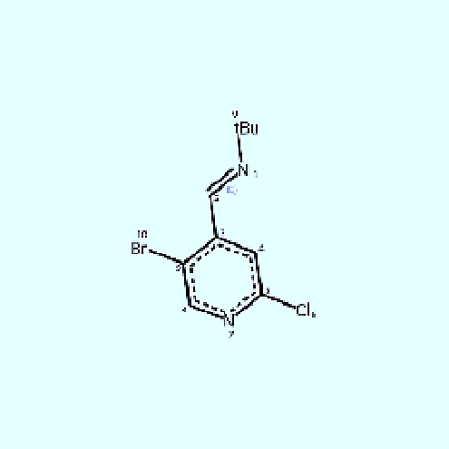 CC(C)(C)/N=C/c1cc(Cl)ncc1Br